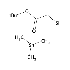 CCCCOC(=O)CS.[CH3][Sn]([CH3])[CH3]